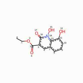 CCOC(=O)c1cc2cccc(O)c2n(O)c1=O